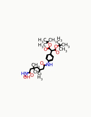 CC(CC(=O)Nc1ccc(C(C(=O)OC(C)(C)C)C(=O)OC(C)(C)C)cc1)CC(C)(C)CC(=O)NO